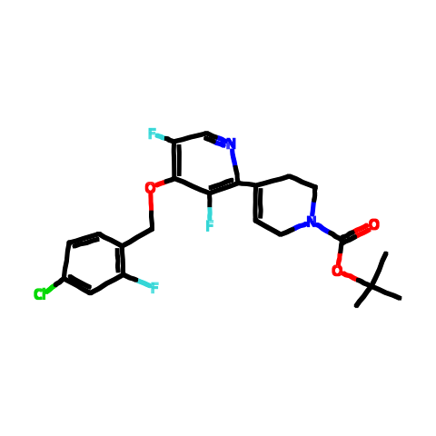 CC(C)(C)OC(=O)N1CC=C(c2ncc(F)c(OCc3ccc(Cl)cc3F)c2F)CC1